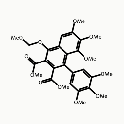 COCOc1c(C(=O)OC)c(C(=O)OC)c(-c2cc(OC)c(OC)c(OC)c2)c2c(OC)c(OC)c(OC)cc12